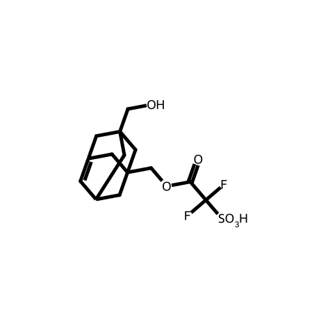 O=C(OCC12CC3=CC(CC(CO)(C3)C1)C2)C(F)(F)S(=O)(=O)O